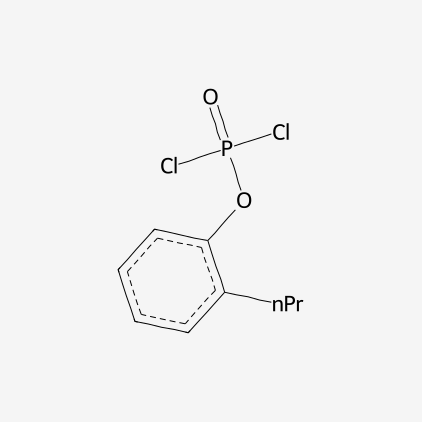 CCCc1ccccc1OP(=O)(Cl)Cl